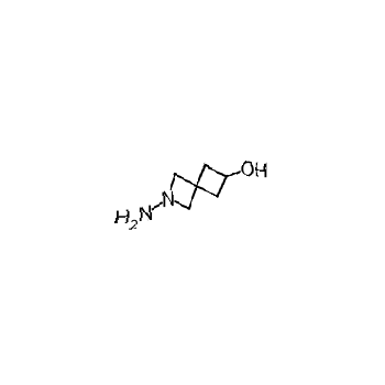 NN1CC2(CC(O)C2)C1